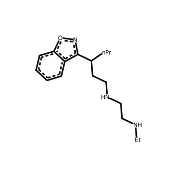 CCCC(CCNCCNCC)c1noc2ccccc12